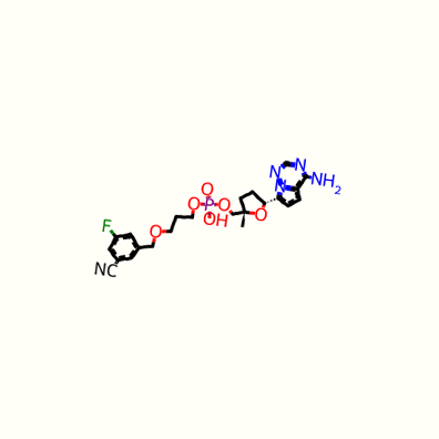 C[C@@]1(COP(=O)(O)OCCCOCc2cc(F)cc(C#N)c2)CC[C@H](c2ccc3c(N)ncnn23)O1